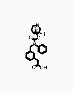 O=C(O)Cc1cccc(CN(C(=O)O[C@H]2CN3CCC2CC3)c2ccccc2)c1